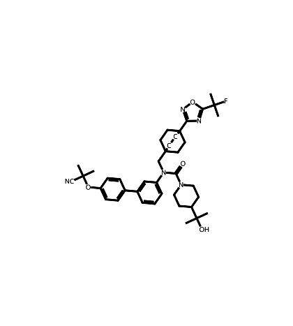 CC(C)(C#N)Oc1ccc(-c2cccc(N(CC34CCC(c5noc(C(C)(C)F)n5)(CC3)CC4)C(=O)N3CCC(C(C)(C)O)CC3)c2)cc1